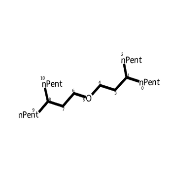 CCCCCC(CCCCC)CCOCCC(CCCCC)CCCCC